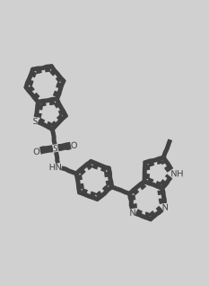 Cc1cc2c(-c3ccc(NS(=O)(=O)c4cc5ccccc5s4)cc3)ncnc2[nH]1